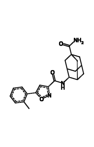 Cc1ccccc1-c1cc(C(=O)NC2C3CC4CC2CC(C(N)=O)(C4)C3)no1